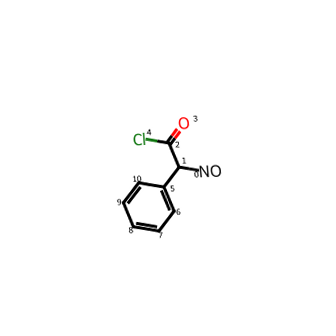 O=NC(C(=O)Cl)c1ccccc1